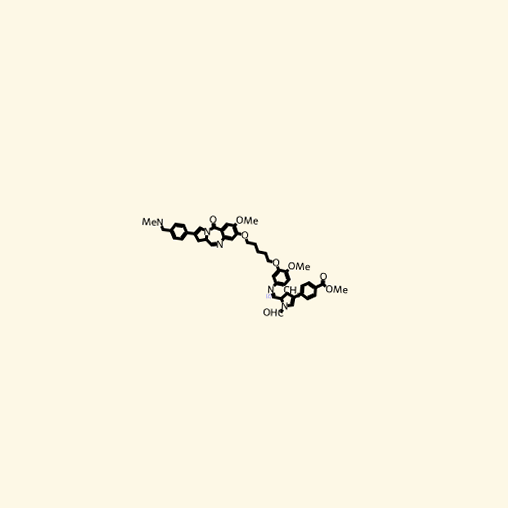 CNCc1ccc(C2=CN3C(=O)c4cc(OC)c(OCCCCCOc5cc(/N=C\C6CC(c7ccc(C(=O)OC)cc7)=CN6C=O)c(C)cc5OC)cc4N=CC3C2)cc1